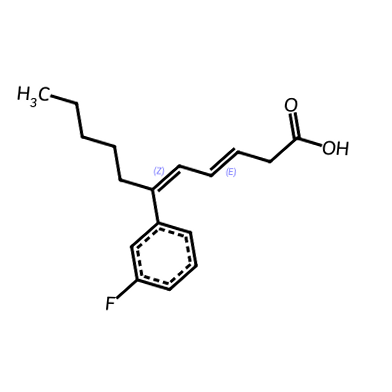 CCCCC/C(=C/C=C/CC(=O)O)c1cccc(F)c1